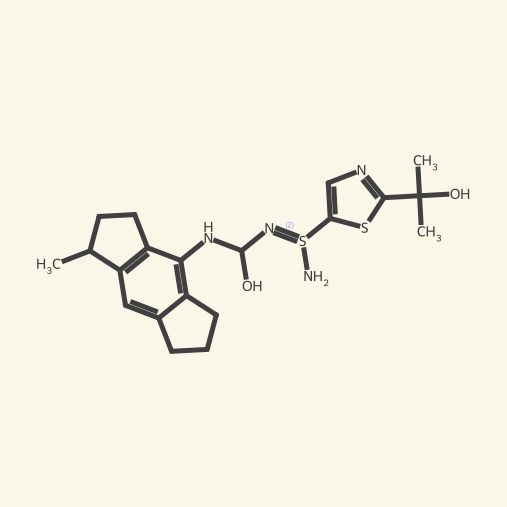 CC1CCc2c1cc1c(c2NC(O)/N=S(\N)c2cnc(C(C)(C)O)s2)CCC1